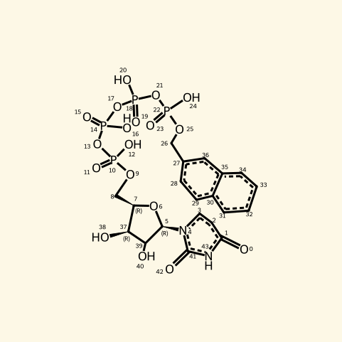 O=c1ccn([C@@H]2O[C@H](COP(=O)(O)OP(=O)(O)OP(=O)(O)OP(=O)(O)OCc3ccc4ccccc4c3)[C@H](O)C2O)c(=O)[nH]1